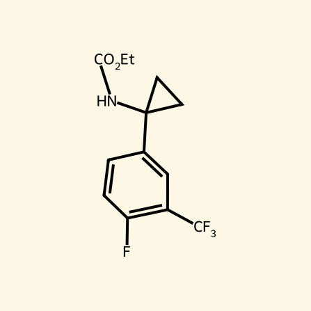 CCOC(=O)NC1(c2ccc(F)c(C(F)(F)F)c2)CC1